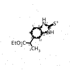 CCOC(=O)C(C)c1ccc2[nH]c(=S)[nH]c2c1